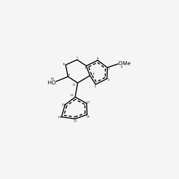 COc1ccc2c(c1)CCC(O)C2c1ccccc1